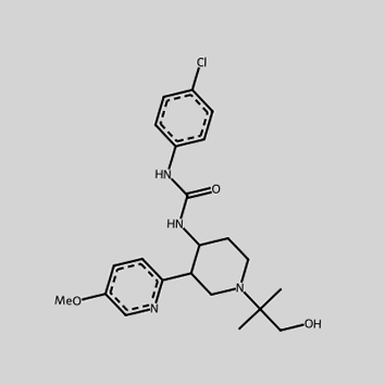 COc1ccc(C2CN(C(C)(C)CO)CCC2NC(=O)Nc2ccc(Cl)cc2)nc1